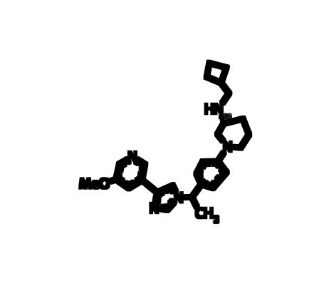 COc1cncc(-c2cn(C(C)c3ccc(N4CCC[C@@H](NCC5CCC5)C4)cc3)cn2)c1